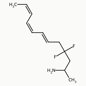 C/C=C\C=C/C=CCC(F)(F)CC(C)N